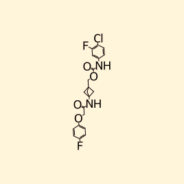 O=C(COc1ccc(F)cc1)NC12CC(COC(=O)Nc3ccc(Cl)c(F)c3)(C1)C2